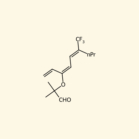 C=C/C(=C\C=C(/CCC)C(F)(F)F)OC(C)(C)C=O